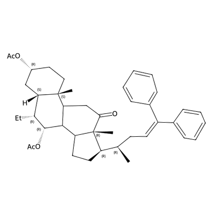 CC[C@H]1[C@@H](OC(C)=O)C2C3CC[C@H]([C@H](C)CC=C(c4ccccc4)c4ccccc4)[C@@]3(C)C(=O)CC2[C@@]2(C)CC[C@@H](OC(C)=O)C[C@@H]12